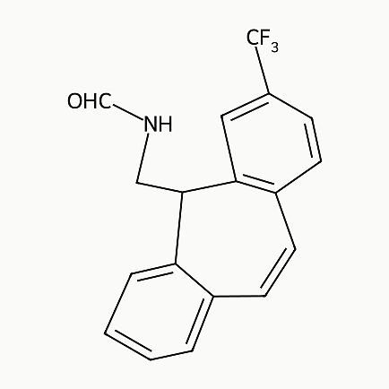 O=CNCC1c2ccccc2C=Cc2ccc(C(F)(F)F)cc21